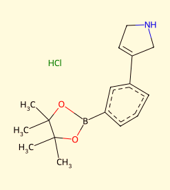 CC1(C)OB(c2cccc(C3=CCNC3)c2)OC1(C)C.Cl